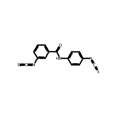 O=C(Nc1ccc(N=C=S)cc1)c1cccc(N=C=S)c1